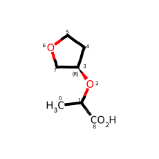 CC(O[C@@H]1CCOC1)C(=O)O